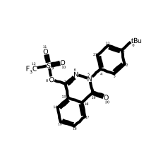 CC(C)(C)c1ccc(-n2nc(OS(=O)(=O)C(F)(F)F)c3ccccc3c2=O)cc1